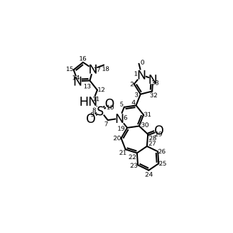 Cn1cc(C2=CN(CS(=O)(=O)NCc3nccn3C)C3=CC=C4C=CC=CC4C(=O)C3=C2)cn1